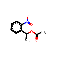 CC(=O)OC(C)c1ccccc1[N+](=O)[O-]